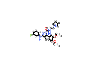 COc1cc2c(cc1OC)-c1c(c(Nc3cccc(F)c3)nn1C(=O)NCCN1CCCC1)C2